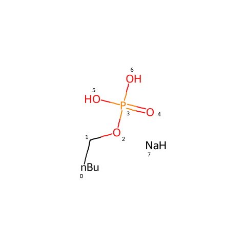 CCCCCOP(=O)(O)O.[NaH]